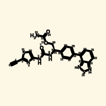 C#Cc1nc(NC(=O)N[C@@H](COC(N)=O)c2ccc(-c3cccc4nsnc34)cc2)cs1